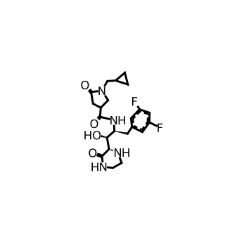 O=C(N[C@@H](Cc1cc(F)cc(F)c1)[C@H](O)[C@@H]1NCCNC1=O)C1CC(=O)N(CC2CC2)C1